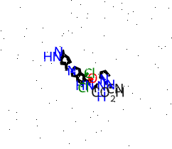 N#C/N=C(\NC[C@H](NC(=O)c1c(Cl)cc2c(c1Cl)CCN(Cc1ccc3cn[nH]c3c1)C2)C(=O)O)N1CCCC1